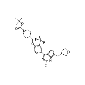 CC(C)(C)OC(=O)N1CCC(COc2ccc(-c3nc(Cl)nc4c3ccn4CC3CCOC3)cc2C(F)(F)F)CC1